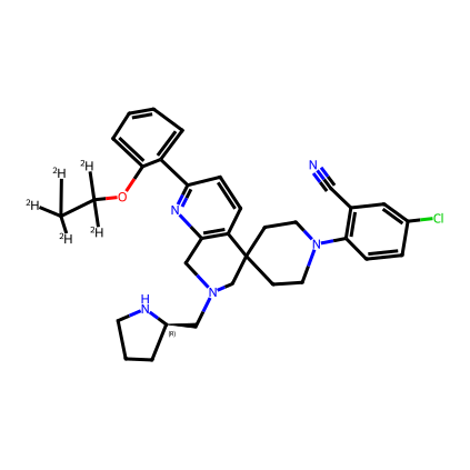 [2H]C([2H])([2H])C([2H])([2H])Oc1ccccc1-c1ccc2c(n1)CN(C[C@H]1CCCN1)CC21CCN(c2ccc(Cl)cc2C#N)CC1